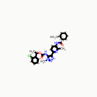 Cc1nc(-c2nnn(C)c2NC(=O)OC(C)c2ccccc2Cl)ccc1NC(=O)[C@H]1CCCC[C@@H]1C(=O)O